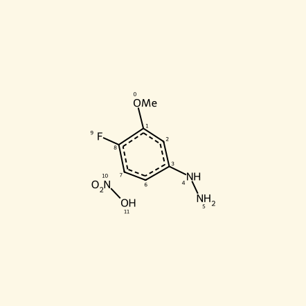 COc1cc(NN)ccc1F.O=[N+]([O-])O